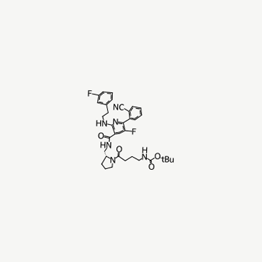 CC(C)(C)OC(=O)NCCCC(=O)N1CCC[C@@H]1CNC(=O)c1cc(F)c(-c2ccccc2C#N)nc1NCCc1cccc(F)c1